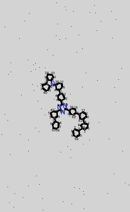 c1ccc(-c2cccc(-c3cccc(-c4ccc(-c5nc(-c6ccc(-c7cccc(-n8c9ccccc9c9ccccc98)c7)cc6)nc(-c6cccc(-c7ccccc7)c6)n5)cc4)c3)c2)cc1